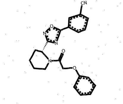 N#Cc1cccc(-c2nc([C@H]3CCCCN3C(=O)COc3ccccc3)no2)c1